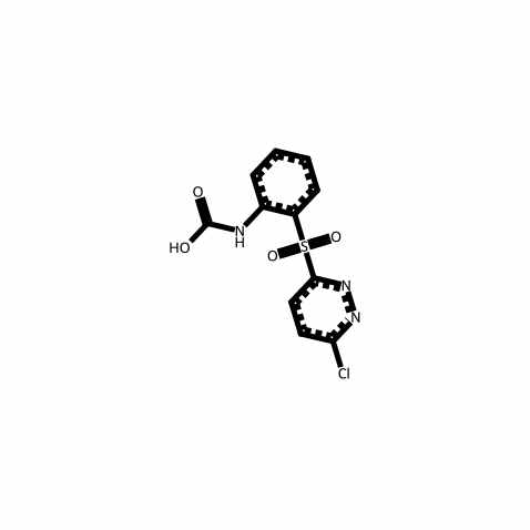 O=C(O)Nc1ccccc1S(=O)(=O)c1ccc(Cl)nn1